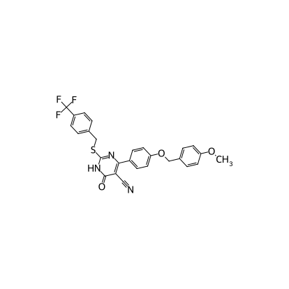 COc1ccc(COc2ccc(-c3nc(SCc4ccc(C(F)(F)F)cc4)[nH]c(=O)c3C#N)cc2)cc1